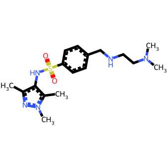 Cc1nn(C)c(C)c1NS(=O)(=O)c1ccc(CNCCN(C)C)cc1